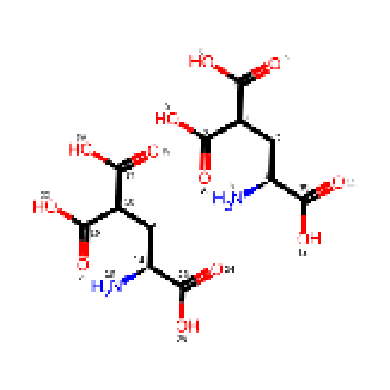 N[C@@H](CC(C(=O)O)C(=O)O)C(=O)O.N[C@@H](CC(C(=O)O)C(=O)O)C(=O)O